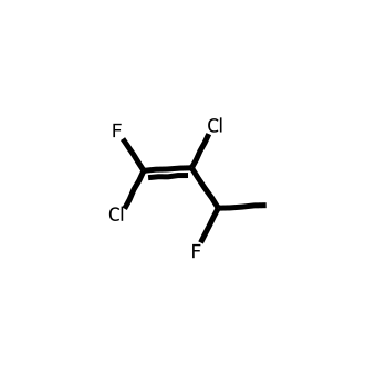 CC(F)C(Cl)=C(F)Cl